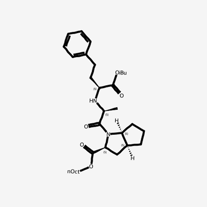 CCCCCCCCOC(=O)[C@@H]1C[C@@H]2CCC[C@@H]2N1C(=O)[C@H](C)N[C@@H](CCc1ccccc1)C(=O)OCC(C)C